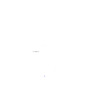 C1=CC2Oc3cc(C4=CCCCC4)ccc3C3(C4=C(CC(N5C6=C(CCCC6)OC6=C5NCC=C6)C=C4)Oc4ccccc43)C2CC1